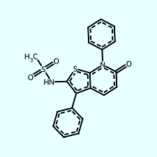 CS(=O)(=O)Nc1sc2c(ccc(=O)n2-c2ccccc2)c1-c1ccccc1